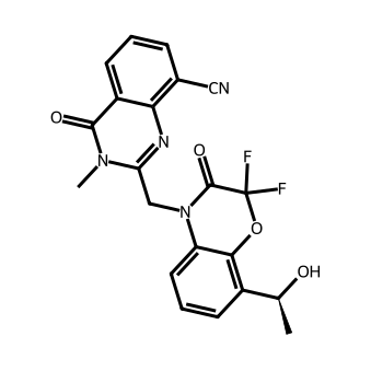 C[C@H](O)c1cccc2c1OC(F)(F)C(=O)N2Cc1nc2c(C#N)cccc2c(=O)n1C